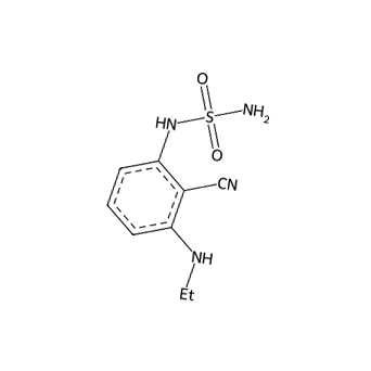 CCNc1cccc(NS(N)(=O)=O)c1C#N